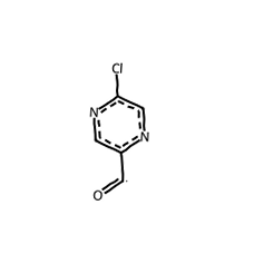 O=[C]c1cnc(Cl)cn1